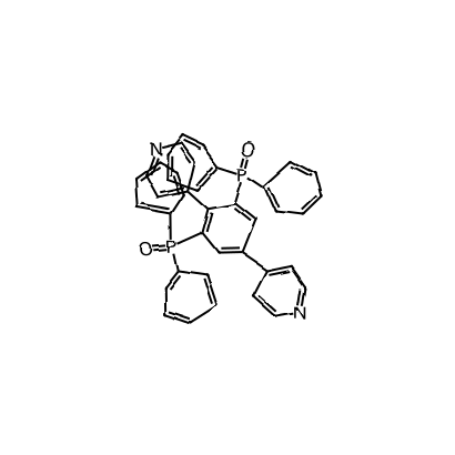 O=P(c1ccccc1)(c1ccccc1)c1cc(-c2ccncc2)cc(P(=O)(c2ccccc2)c2ccccc2)c1-c1ccncc1